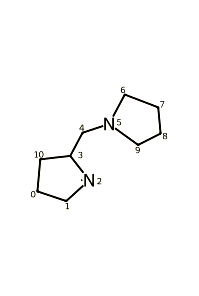 C1C[N]C(CN2CCCC2)C1